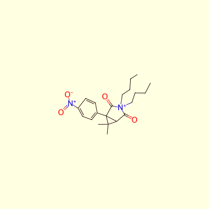 CCCC[N+]1(CCCC)C(=O)C2C(C)(C)C2(c2ccc([N+](=O)[O-])cc2)C1=O